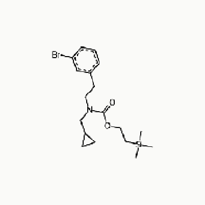 C[Si](C)(C)CCOC(=O)N(CCc1cccc(Br)c1)CC1CC1